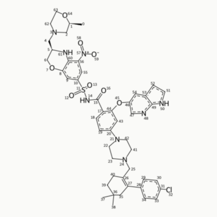 C[C@H]1CN(C[C@@H]2COc3cc(S(=O)(=O)NC(=O)c4ccc(N5CCN(CC6=C(c7ccc(Cl)cc7)CC(C)(C)CC6)CC5)cc4Oc4cnc5[nH]ccc5c4)cc([N+](=O)[O-])c3N2)CCO1